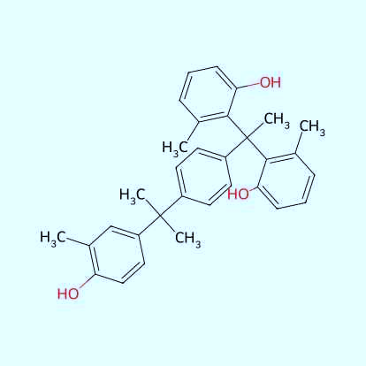 Cc1cc(C(C)(C)c2ccc(C(C)(c3c(C)cccc3O)c3c(C)cccc3O)cc2)ccc1O